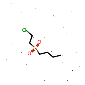 [CH2]CCCS(=O)(=O)CCCl